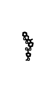 COc1ccc(C(=O)Oc2ccc3c(C)c(Cc4ccccc4)c(=O)oc3c2)cc1